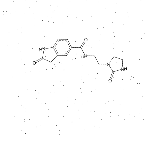 O=C1Cc2cc(C(=O)NCCN3CCNC3=O)ccc2N1